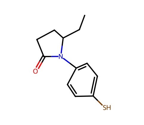 CCC1CCC(=O)N1c1ccc(S)cc1